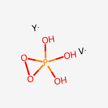 OP1(O)(O)OO1.[V].[Y]